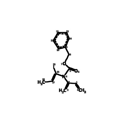 C=CC(=C)N(C(=O)OCc1ccccc1)/C(I)=C/C